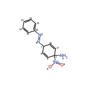 NC1([N+](=O)[O-])C=CC(/N=N/c2ccccc2)C=C1